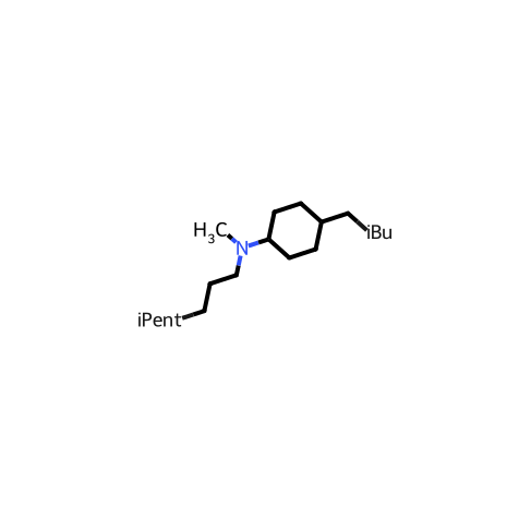 CCCC(C)CCCN(C)C1CCC(CC(C)CC)CC1